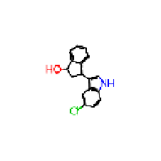 OC1CC(c2c[nH]c3ccc(Cl)cc23)c2ccccc21